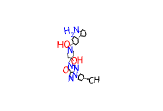 C#Cc1ccc(-n2ncc3c(=O)n(CC4(O)CCN(C(O)c5ccc(-c6ccccc6N)cc5)CC4)cnc32)cc1